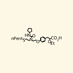 CCCCCSCCN(CCOc1ccc(CC(OCC)C(=O)O)cc1)C(=O)NC1CCCC1